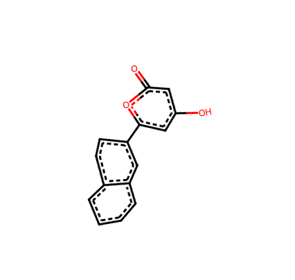 O=c1cc(O)cc(-c2ccc3ccccc3c2)o1